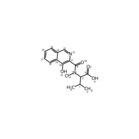 CC(C)C(C(=O)O)N(Cl)C(=O)c1ncc2ccccc2c1O